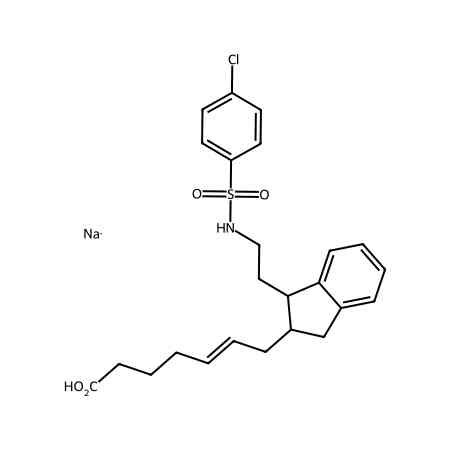 O=C(O)CCCC=CCC1Cc2ccccc2C1CCNS(=O)(=O)c1ccc(Cl)cc1.[Na]